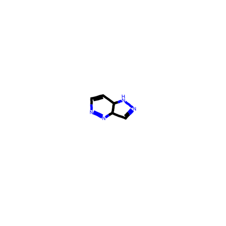 C1=CC2NN=CC2N=N1